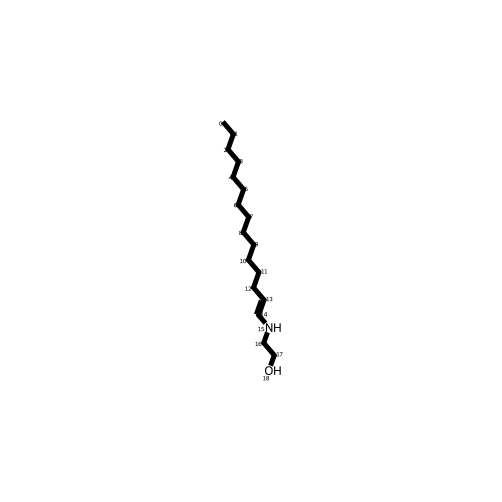 CCCCCCCCCCCCCC=CNCCO